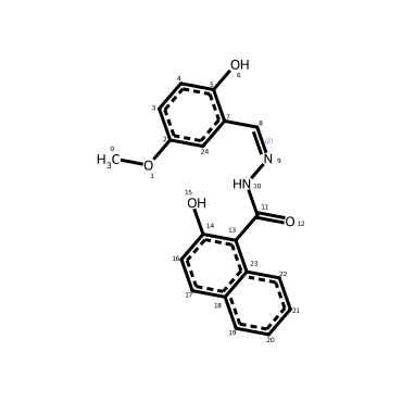 COc1ccc(O)c(/C=N\NC(=O)c2c(O)ccc3ccccc23)c1